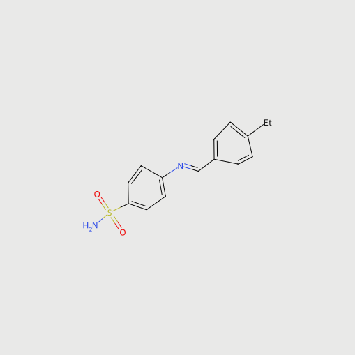 CCc1ccc(/C=N/c2ccc(S(N)(=O)=O)cc2)cc1